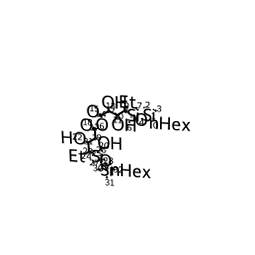 CCCCCC[Si](C)(C)O[Si](C)(C)C(CC)C(O)C(O)C(=O)OC(=O)C(O)C(O)C(CC)[Si](C)(C)O[Si](C)(C)CCCCCC